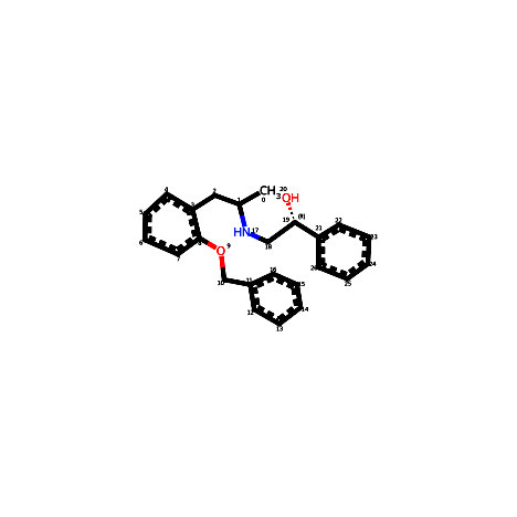 CC(Cc1ccccc1OCc1ccccc1)NC[C@H](O)c1ccccc1